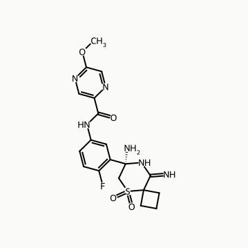 COc1cnc(C(=O)Nc2ccc(F)c([C@]3(N)CS(=O)(=O)C4(CCC4)C(=N)N3)c2)cn1